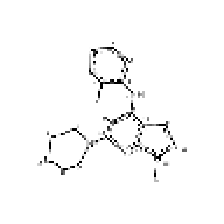 Cc1ccccc1Nc1nc(N2CCOCC2)nc2c1cnn2C